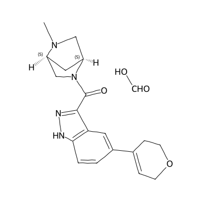 CN1C[C@@H]2C[C@H]1CN2C(=O)c1n[nH]c2ccc(C3=CCOCC3)cc12.O=CO